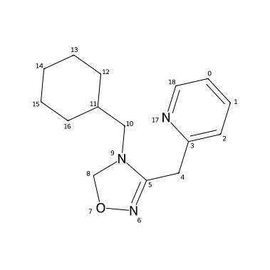 c1ccc(CC2=NOCN2CC2CCCCC2)nc1